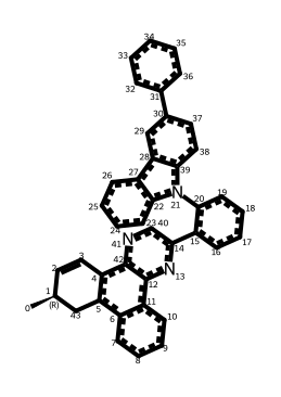 C[C@H]1C=Cc2c(c3ccccc3c3nc(-c4ccccc4-n4c5ccccc5c5cc(-c6ccccc6)ccc54)cnc23)C1